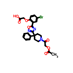 CC(=O)OCC(=O)N1CCC(c2ccccc2)(c2noc(-c3cc(Br)ccc3OCC(=O)O)n2)CC1